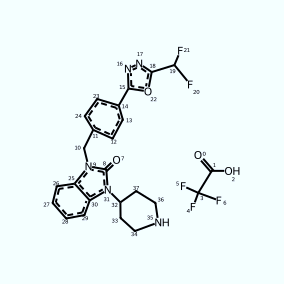 O=C(O)C(F)(F)F.O=c1n(Cc2ccc(-c3nnc(C(F)F)o3)cc2)c2ccccc2n1C1CCNCC1